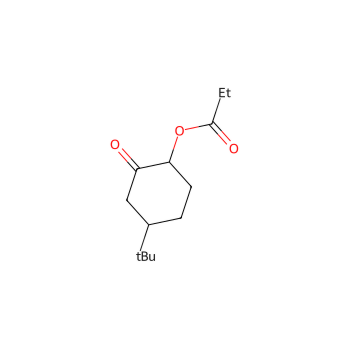 CCC(=O)OC1CCC(C(C)(C)C)CC1=O